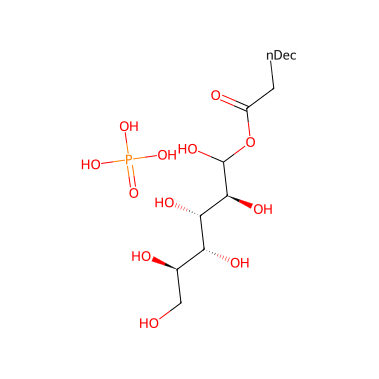 CCCCCCCCCCCC(=O)OC(O)[C@@H](O)[C@@H](O)[C@H](O)[C@H](O)CO.O=P(O)(O)O